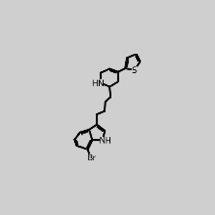 Brc1cccc2c(CCCCC3CC(c4cccs4)=CCN3)c[nH]c12